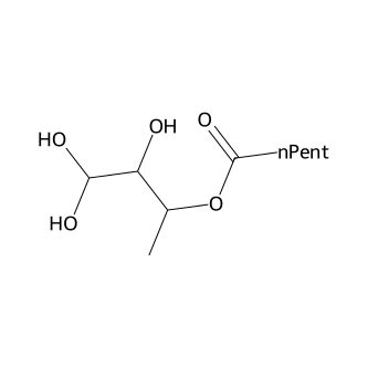 CCCCCC(=O)OC(C)C(O)C(O)O